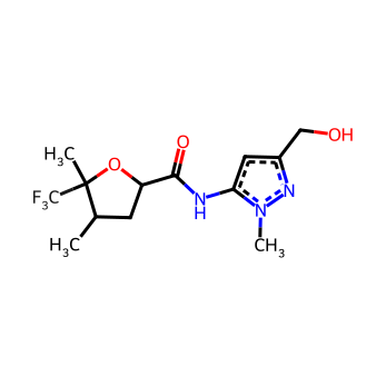 CC1CC(C(=O)Nc2cc(CO)nn2C)OC1(C)C(F)(F)F